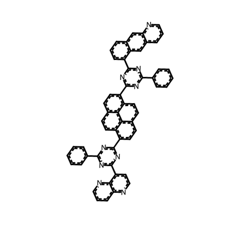 c1ccc(-c2nc(-c3cccc4cc5ncccc5cc34)nc(-c3ccc4ccc5c(-c6nc(-c7ccccc7)nc(-c7ccnc8cccnc78)n6)ccc6ccc3c4c65)n2)cc1